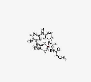 C=CC(=O)NC1CN(C2CCC[C@@H](Nc3ncc(Cl)c(-c4c[nH]c5ccccc45)n3)C2)C1